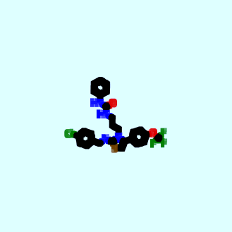 O=C(NCCCn1c(-c2ccc(OC(F)(F)F)cc2)cs/c1=N\Cc1ccc(Cl)cc1)Nc1ccccc1